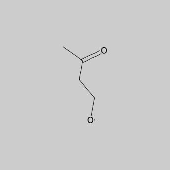 CC(=O)CC[O]